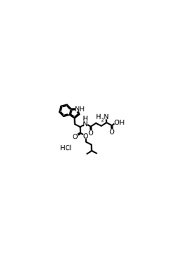 CC(C)CCOC(=O)C(Cc1c[nH]c2ccccc12)NC(=O)CCC(N)C(=O)O.Cl